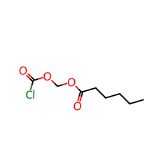 CCCCCC(=O)OCOC(=O)Cl